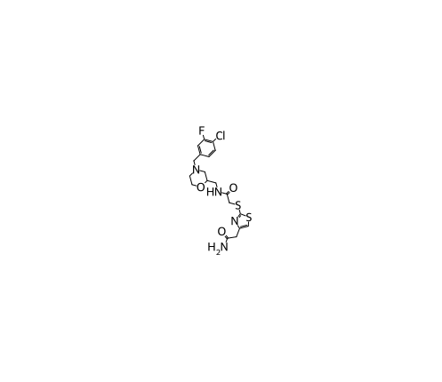 NC(=O)Cc1csc(SCC(=O)NCC2CN(Cc3ccc(Cl)c(F)c3)CCO2)n1